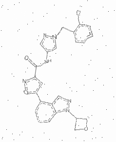 O=C(Nc1cnn(Cc2ccccc2Cl)c1)c1cc(-c2cccc3c2cnn3C2COC2)on1